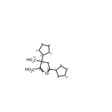 C=C(C(=O)O)C(CC(=O)C1CCCC1)(C(=O)O)C1CCCC1